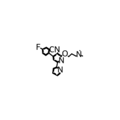 CN(C)CCCOc1nc(-c2ccccn2)cc(-c2ccc(F)cc2)c1C#N